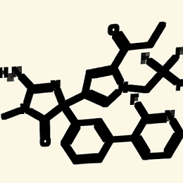 CCC(=O)c1cc(C2(c3cccc(-c4cccnc4F)c3)N=C(N)N(C)C2=O)cn1CC(F)(F)F